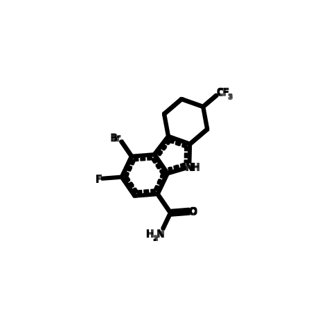 NC(=O)c1cc(F)c(Br)c2c3c([nH]c12)CC(C(F)(F)F)CC3